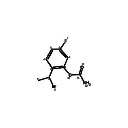 CC(Br)c1ccc(F)cc1OC(N)=O